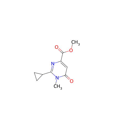 COC(=O)c1cc(=O)n(C)c(C2CC2)n1